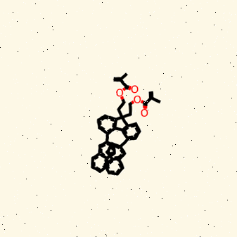 C=C(C)C(=O)OCCC1(CCOC(=O)C(=C)C)c2cccc(-c3ccc4ccccc4c3)c2-c2c(-c3ccc4ccccc4c3)cccc21